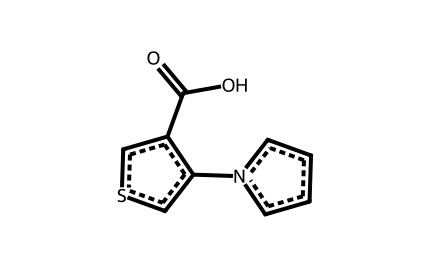 O=C(O)c1cscc1-n1cccc1